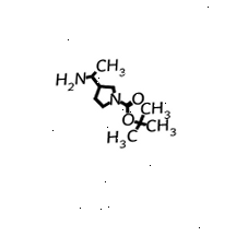 CC(N)C1CCN(C(=O)OC(C)(C)C)C1